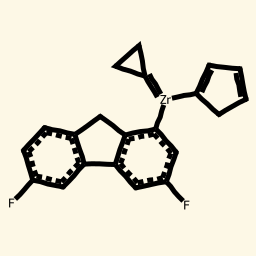 Fc1ccc2c(c1)-c1cc(F)c[c]([Zr]([C]3=CC=CC3)=[C]3CC3)c1C2